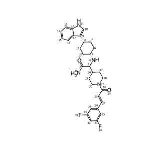 NC(=O)C(N[C@H]1CC[C@@H](c2c[nH]c3ccccc32)CC1)C1CCN(C(=O)C=Cc2cc(F)cc(F)c2)CC1